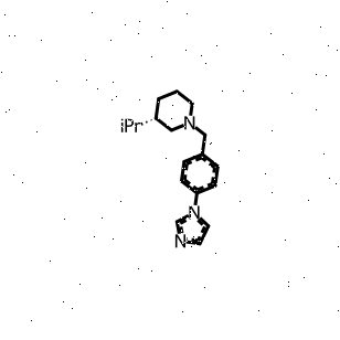 CC(C)[C@@H]1CCCN(Cc2ccc(-n3ccnc3)cc2)C1